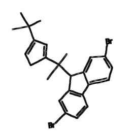 CC(C)(C)C1=CCC(C(C)(C)C2c3cc(Br)ccc3-c3ccc(Br)cc32)=C1